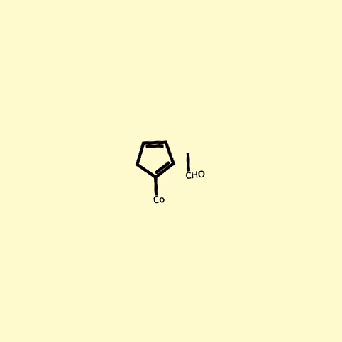 CC=O.[Co][C]1=CC=CC1